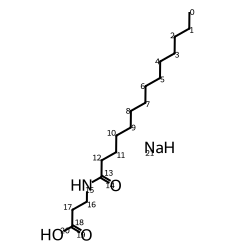 CCCCCCCCCCCCCC(=O)NCCC(=O)O.[NaH]